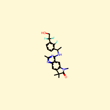 Cc1nc(NC(C)c2cccc(C(F)(F)CO)c2F)c2cc3c(cc2n1)C(C)(C)C(=O)N3C